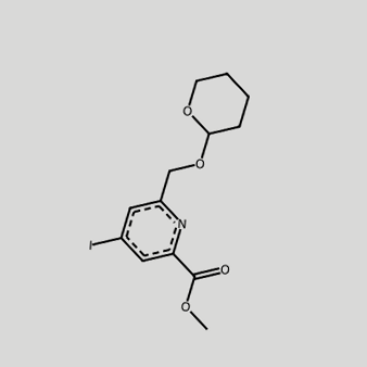 COC(=O)c1cc(I)cc(COC2CCCCO2)n1